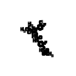 CC(C)(C)c1cc(CNC(=O)Nc2ccc(CNS(C)(=O)=O)c(F)c2)n(-c2ccc(F)c(Cl)c2)n1